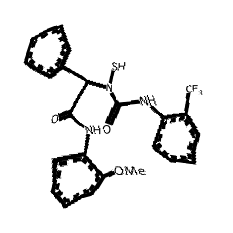 COc1ccccc1NC(=O)C(c1ccccc1)N(S)C(=O)Nc1ccccc1C(F)(F)F